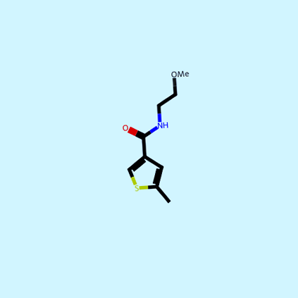 COCCNC(=O)c1csc(C)c1